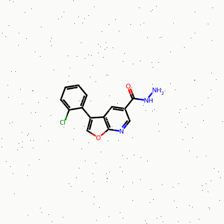 NNC(=O)c1cnc2occ(-c3ccccc3Cl)c2c1